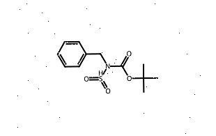 CC(C)(C)OC(=O)N(Cc1ccccc1)[SH](=O)=O